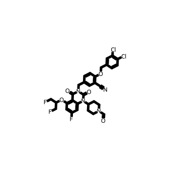 N#Cc1cc(Cn2c(=O)c3c(OC(CF)CF)cc(F)cc3n(C3CCN(C=O)CC3)c2=O)ccc1OCc1ccc(Cl)c(Cl)c1